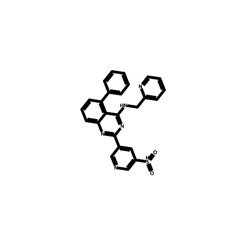 O=[SH](=O)c1cncc(-c2nc(NCc3ccccn3)c3c(-c4ccccc4)cccc3n2)c1